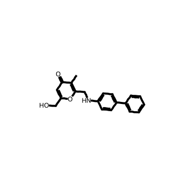 Cc1c(CNc2ccc(-c3ccccc3)cc2)oc(CO)cc1=O